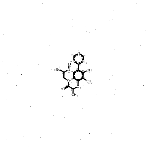 CCCCC(COC(=O)C(C)Oc1ccc(-c2ncncn2)c(O)c1C)OCC